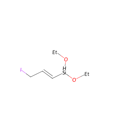 CCO[SiH](C=CCI)OCC